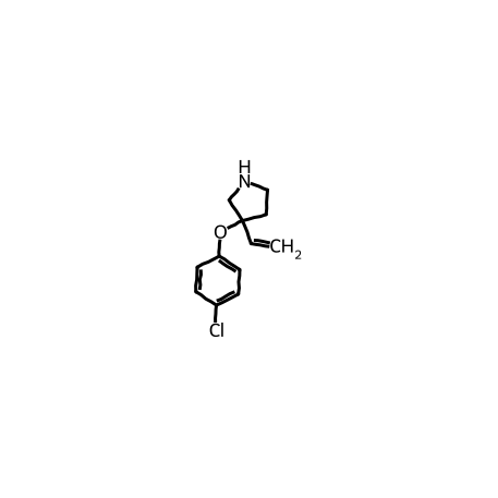 C=CC1(Oc2ccc(Cl)cc2)CCNC1